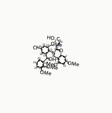 COc1ccc(CN(C(=O)/C=C/C(=O)O)c2c(OC)cc(Cl)cc2C(O)c2cccc(OC)c2OC)c(OC)c1